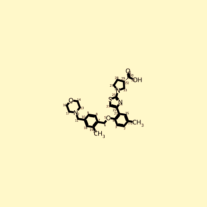 Cc1ccc(OCc2ccc(CN3CCOCC3)cc2C)c(-c2csc(N3CC[C@H](C(=O)O)C3)n2)c1